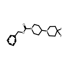 O=C(OCc1ccccc1)N1CCC(N2CCC(F)(F)CC2)CC1